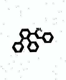 NC(=Cc1ccccc1)c1cccc(-c2ccccc2)c1-c1ccccc1